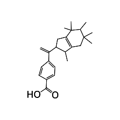 C=C(c1ccc(C(=O)O)cc1)C1CC2=C(CC(C)(C)C(C)C2(C)C)C1C